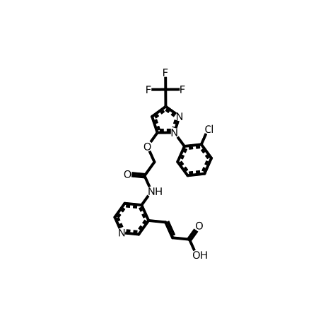 O=C(O)C=Cc1cnccc1NC(=O)COc1cc(C(F)(F)F)nn1-c1ccccc1Cl